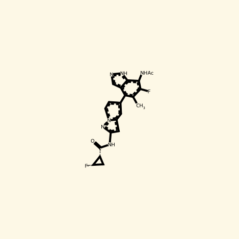 CC(=O)Nc1c(F)c(C)c(-c2ccn3nc(NC(=O)[C@@H]4C[C@@H]4F)cc3c2)c2cn[nH]c12